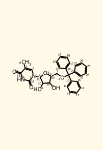 Cc1cn([C@H]2O[C@@H](COC(c3ccccc3)(c3ccccc3)c3ccccc3)C(O)C2O)c(=O)[nH]c1=O